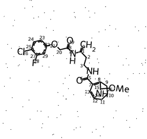 C=C(CCNC(=O)C1=C2CCCC(=C1)NC2OC)NC(=O)COc1ccc(Cl)c(F)c1